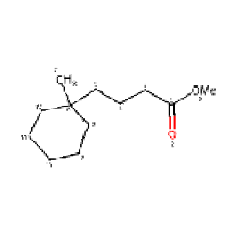 COC(=O)CCCC1(C)CCCCC1